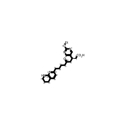 CCOc1ncc([C@@H](CC(=O)O)CC(=O)CCCCc2ccc3c(n2)NCCC3)cn1